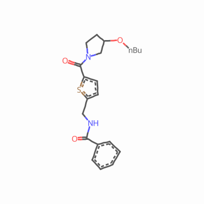 CCCCOC1CCN(C(=O)c2ccc(CNC(=O)c3ccccc3)s2)C1